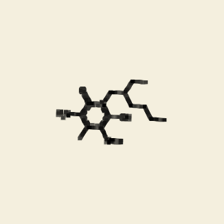 C=Nc1c(C)c(N)c(=O)n(CC(CC)CCCC)c1O